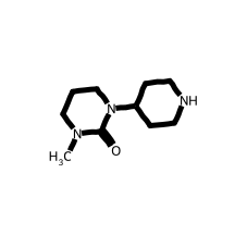 CN1CCCN(C2CCNCC2)C1=O